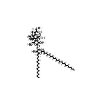 CCCCCCCCCCCCC/C=C/[C@@H](O)[C@H](CO[C@@H]1OC(CO)[C@H](O)[C@H](O[C@]2(C(=O)O)CC(O)[C@@H](NC(C)=O)C([C@H](O)[C@H](O)CO)O2)C1O)NC(=O)CCCCCCCCCCCCCCCCCCCCC